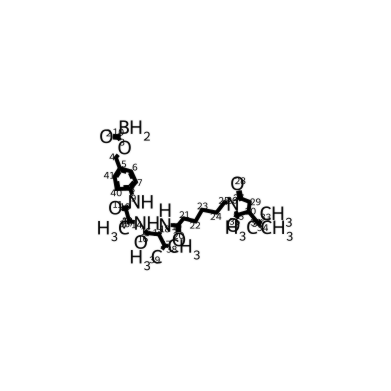 BC(=O)OCc1ccc(NC(=O)[C@@H](C)NC(=O)C(NC(=O)CCCCCN2C(=O)CC(C(C)(C)C)C2=O)C(C)C)cc1